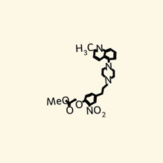 COC(=O)COc1ccc(CCCN2CCN(c3cccc4nc(C)ccc34)CC2)cc1[N+](=O)[O-]